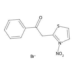 O=C(Cc1scc[n+]1[N+](=O)[O-])c1ccccc1.[Br-]